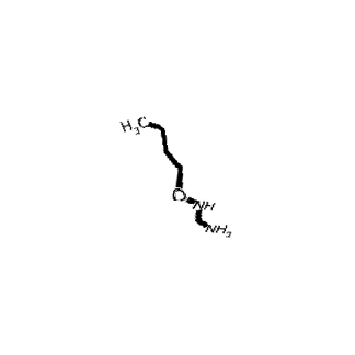 CCCCONCN